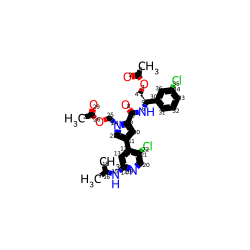 CC(=O)OC[C@@H](NC(=O)c1cc(-c2cc(NC(C)C)ncc2Cl)cn1COC(C)=O)c1cccc(Cl)c1